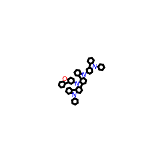 c1ccc(-n2c3ccccc3c3cc(-n4c5ccccc5c5c4ccc4c6ccc7c(c8ccccc8n7-c7ccccc7)c6n(-c6ccc7oc8ccccc8c7c6)c45)ccc32)cc1